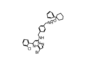 Clc1ccccc1-c1cc(NCc2ccc(CNCOC3(c4ccccc4)CCCCC3)cc2)n2ncc(Br)c2n1